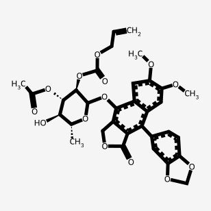 C=CCOC(=O)O[C@H]1C(Oc2c3c(c(-c4ccc5c(c4)OCO5)c4cc(OC)c(OC)cc24)C(=O)OC3)O[C@H](C)[C@@H](O)[C@@H]1OC(C)=O